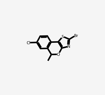 CC1Oc2nc(Br)sc2-c2ccc(Cl)cc21